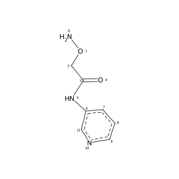 NOCC(=O)Nc1cccnc1